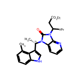 CCCC(CC(=O)OCC)n1c(=O)n([C@@H](C)c2c[nH]c3cccc(C)c23)c2cccnc21